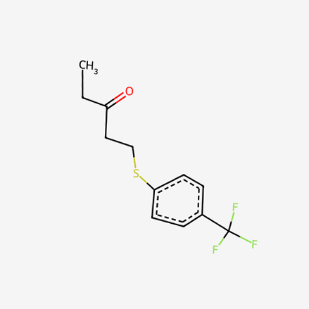 CCC(=O)CCSc1ccc(C(F)(F)F)cc1